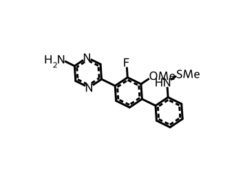 COc1c(-c2ccccc2NSC)ccc(-c2cnc(N)cn2)c1F